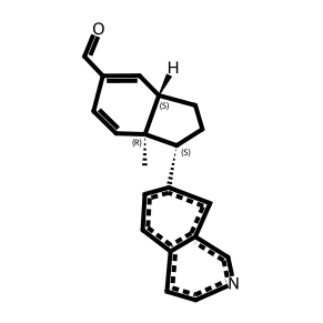 C[C@]12C=CC(C=O)=C[C@@H]1CC[C@@H]2c1ccc2ccncc2c1